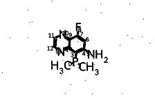 CP(C)c1c(N)cc(F)c2nccnc12